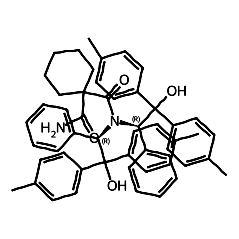 Cc1ccc(C(O)(c2ccc(C)cc2)[C@@H](c2ccccc2)N(C(=O)C2(C(N)=O)CCCCC2)[C@H](c2ccccc2)C(O)(c2ccc(C)cc2)c2ccc(C)cc2)cc1